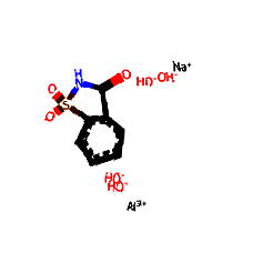 O=C1NS(=O)(=O)c2ccccc21.[Al+3].[Na+].[OH-].[OH-].[OH-].[OH-]